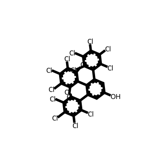 Oc1cc(-c2c(Cl)c(Cl)c(Cl)c(Cl)c2Cl)c(-c2c(Cl)c(Cl)c(Cl)c(Cl)c2Cl)c(-c2c(Cl)c(Cl)c(Cl)c(Cl)c2Cl)c1